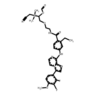 CCc1cc(Nc2nccn3c(-c4ccc(OC)c(F)c4F)cnc23)ccc1C(=O)NCCOCC(OC=O)[N+](C)(C)CC#N